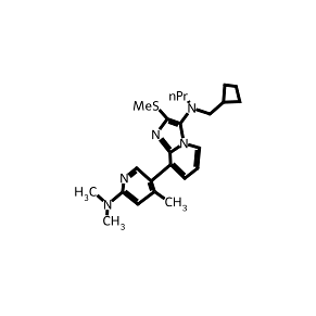 CCCN(CC1CCC1)c1c(SC)nc2c(-c3cnc(N(C)C)cc3C)cccn12